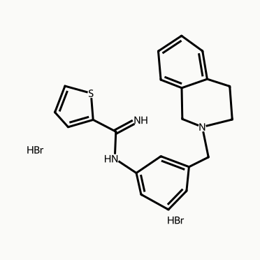 Br.Br.N=C(Nc1cccc(CN2CCc3ccccc3C2)c1)c1cccs1